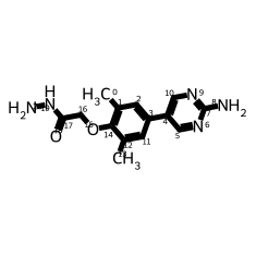 Cc1cc(-c2cnc(N)nc2)cc(C)c1OCC(=O)NN